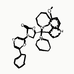 COc1ccc2nccc(C([C@H]3CN(C4=COC=C(C5=CC=CCC5)O4)C(=O)O3)(N3CCCCCC3)N3CCCCCC3)c2n1